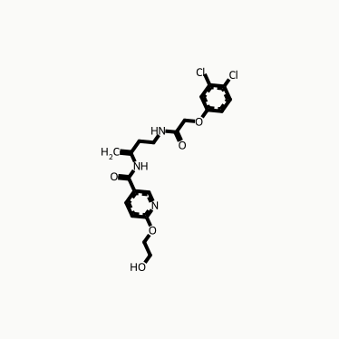 C=C(CCNC(=O)COc1ccc(Cl)c(Cl)c1)NC(=O)c1ccc(OCCO)nc1